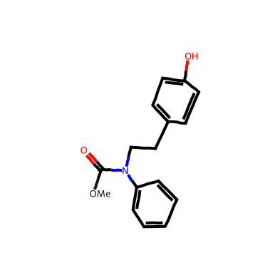 COC(=O)N(CCc1ccc(O)cc1)c1ccccc1